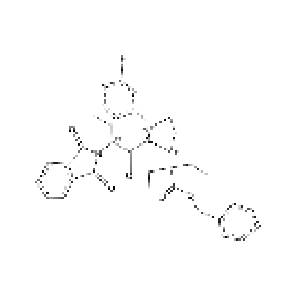 CC[C@H](C(=O)N1[C@H](c2cccc(F)c2)CC[C@@H]1C(CC)(CC)C(=O)OCc1ccccc1)N1C(=O)c2ccccc2C1=O